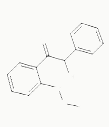 O=C(c1ccccc1OOCl)C(O)c1ccccc1